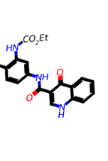 CCOC(=O)Nc1cc(NC(=O)c2c[nH]c3ccccc3c2=O)ccc1C